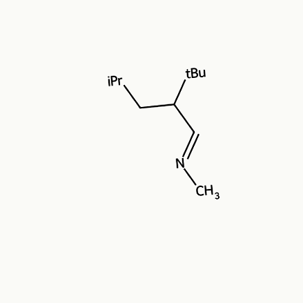 C/N=C/C(CC(C)C)C(C)(C)C